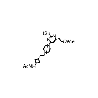 COCCc1cc(N2CCN(CC[C@H]3C[C@@H](NC(C)=O)C3)CC2)nc(C(C)(C)C)n1